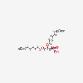 CCCCCCCCCCCCCCCCOCC(CO[PH](=O)O)OCCCCCCCCCCCCCCCC